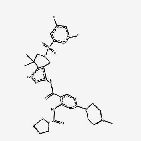 CN1CCN(c2ccc(C(=O)Nc3n[nH]c4c3CN(S(=O)(=O)c3cc(F)cc(F)c3)CC4(C)C)c(NC(=O)[C@@H]3CCCO3)c2)CC1